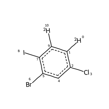 [2H]c1c(Cl)cc(Br)c(I)c1[2H]